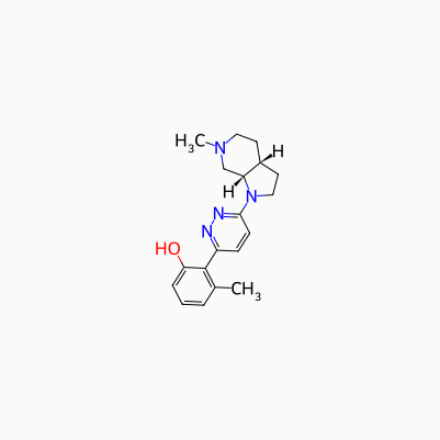 Cc1cccc(O)c1-c1ccc(N2CC[C@H]3CCN(C)C[C@H]32)nn1